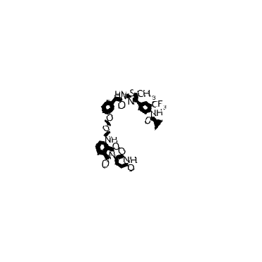 Cc1sc(NC(=O)Cc2cccc(OCCOCCNc3cccc4c3C(=O)N(C3CCC(=O)NC3=O)C4=O)c2)nc1-c1ccc(NC(=O)C2CC2)c(C(F)(F)F)c1